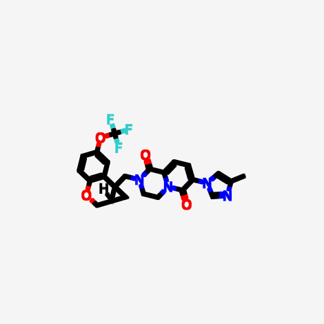 Cc1cn(-c2ccc3n(c2=O)CCN(CC24C[C@@H]2COc2ccc(OC(F)(F)F)cc24)C3=O)cn1